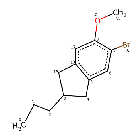 CCCC1Cc2cc(Br)c(OC)cc2C1